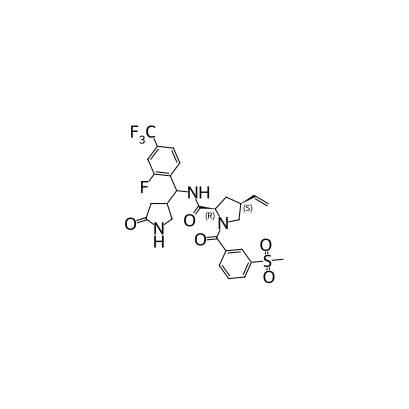 C=C[C@@H]1C[C@H](C(=O)NC(c2ccc(C(F)(F)F)cc2F)C2CNC(=O)C2)N(C(=O)c2cccc(S(C)(=O)=O)c2)C1